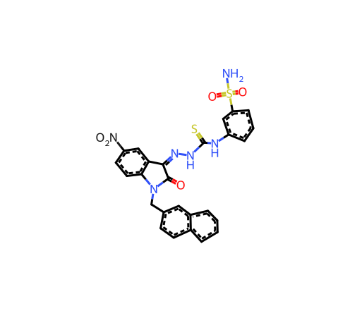 NS(=O)(=O)c1cccc(NC(=S)NN=C2C(=O)N(Cc3ccc4ccccc4c3)c3ccc([N+](=O)[O-])cc32)c1